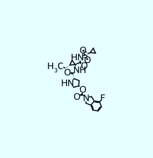 CC[C@@H]1C[C@]1(NC(=O)[C@@H]1C[C@@H](OC(=O)N2Cc3cccc(F)c3C2)CN1)C(=O)NS(=O)(=O)C1CC1